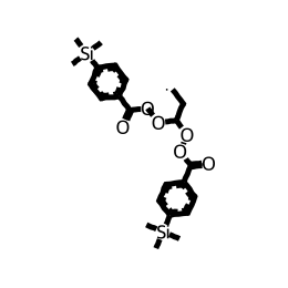 [CH2]C[C](OOC(=O)c1ccc([Si](C)(C)C)cc1)OOC(=O)c1ccc([Si](C)(C)C)cc1